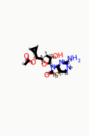 CC(=O)O[C@@H](C1CC1)[C@@H]1C[C@@H](O)[C@H](n2c(=O)sc3cnc(N)nc32)O1